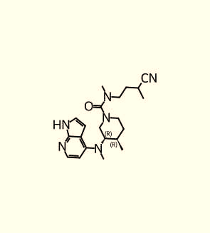 CC(C#N)CCN(C)C(=O)N1CC[C@@H](C)[C@@H](N(C)c2ccnc3[nH]ccc23)C1